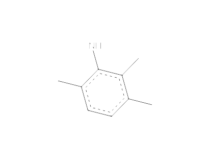 Cc1ccc(C)c([NH])c1C